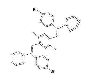 Cc1cc(C=C(c2ccccc2)c2ccc(Br)cc2)c(C)cc1C=C(c1ccccc1)c1ccc(Br)cc1